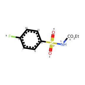 CCOC(=O)NS(=O)(=O)c1ccc(F)cc1